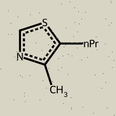 CCCc1scnc1C